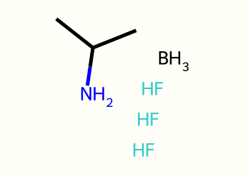 B.CC(C)N.F.F.F